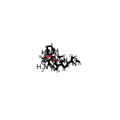 Cc1nc(C(=O)N2[C@@H]3CC[C@H]2CC(c2nc4c(-c5ccc(-c6csc(C)n6)nc5)cnn4c(N)c2S(C)(=O)=O)C3)n[nH]1